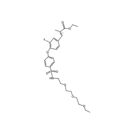 CCOCCOCCOCCNS(=O)(=O)c1ccc(Oc2ccc(/C=C(\C)C(=O)OCC)cc2F)cc1